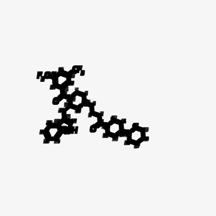 O=C(CCCN1CCN(C(=O)c2cc(C(F)(F)F)cc(C(F)(F)F)c2)[C@H](Cc2c[nH]c3ccccc23)C1)N1CCC(N2CCCCC2)CC1